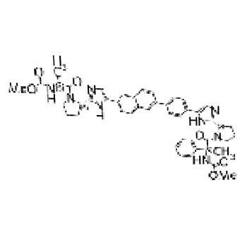 COC(=O)N[C@@H](C)C(=O)N1CCC[C@H]1c1ncc(-c2ccc3cc(-c4ccc(-c5cnc([C@@H]6CCCN6C(=O)[C@@](C)(NC(=O)OC)c6ccccc6)[nH]5)cc4)ccc3c2)[nH]1